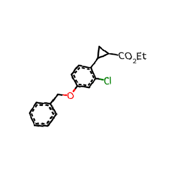 CCOC(=O)C1CC1c1ccc(OCc2ccccc2)cc1Cl